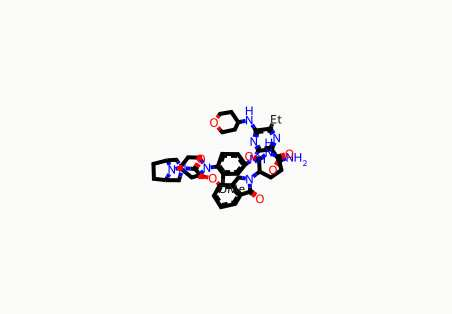 CCc1nc(C(N)=O)c(Nc2ccc(N3CCC(N4C5CCC4CN(C(=O)COc4cccc6c4CN(C4CCC(=O)NC4=O)C6=O)C5)CC3)c(OC)c2)nc1NC1CCOCC1